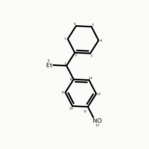 CCC(C1=CCCCC1)c1ccc(N=O)cc1